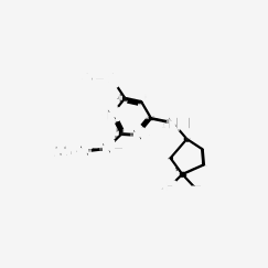 CNNc1nc(C=O)cc(NC2CCC(F)(F)C2)n1